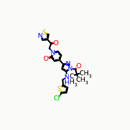 CC(C)(C)C(=O)n1nc(-c2ccn(CC(=O)c3cnsc3)c(=O)c2)cc1NCc1ccc(Cl)s1